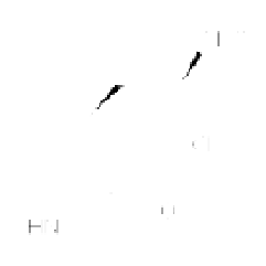 C[C@H](C=O)C[C@@H]1CCNC1=O